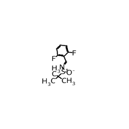 CC(C)(C)[S+]([O-])N=Cc1c(F)cccc1F